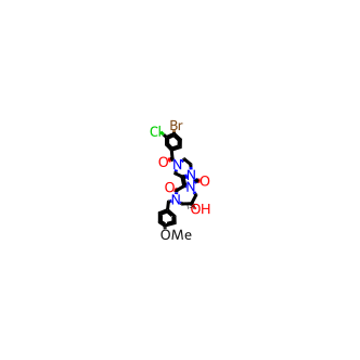 COc1ccc(CN2C[C@H](O)Cn3c(c4n(c3=O)CCN(C(=O)c3ccc(Br)c(Cl)c3)C4)C2=O)cc1